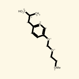 COCCOCOc1ccc(CC(C)C(=O)O)nc1